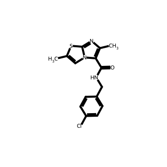 Cc1cn2c(C(=O)NCc3ccc(Cl)cc3)c(C)nc2s1